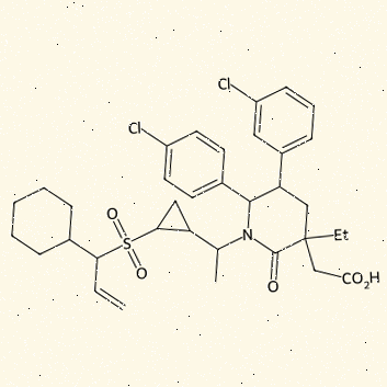 C=CC(C1CCCCC1)S(=O)(=O)C1CC1C(C)N1C(=O)C(CC)(CC(=O)O)CC(c2cccc(Cl)c2)C1c1ccc(Cl)cc1